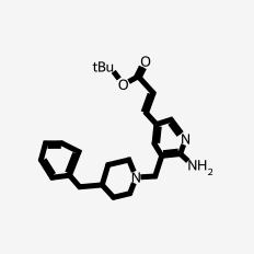 CC(C)(C)OC(=O)C=Cc1cnc(N)c(CN2CCC(Cc3ccccc3)CC2)c1